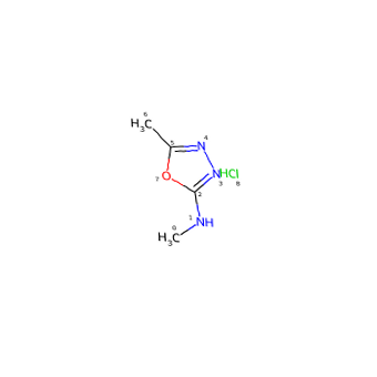 CNc1nnc(C)o1.Cl